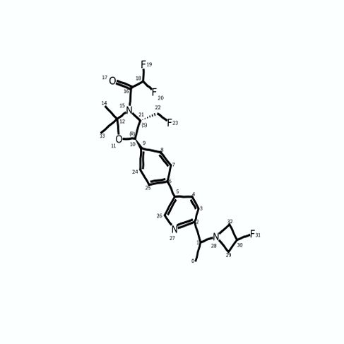 CC(c1ccc(-c2ccc([C@H]3OC(C)(C)N(C(=O)C(F)F)[C@@H]3CF)cc2)cn1)N1CC(F)C1